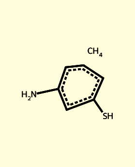 C.Nc1cccc(S)c1